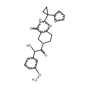 COc1cccc(C(O)C(=O)N2CCc3nc(C4(c5cccs5)CC4)[nH]c(=O)c3C2)c1